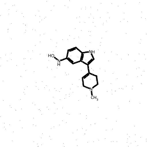 CN1CC=C(c2c[nH]c3ccc(NO)cc23)CC1